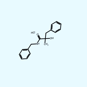 CC(O)(Cc1ccccc1)C(=O)NCc1ccccc1.Cl